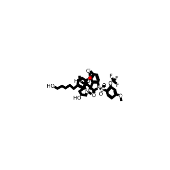 CNC(=O)[C@@H]1C[C@@H](O)C[N+]1(C)C1(c2cc(CCCCCO)ccc2OC)C(=O)N(S(=O)(=O)c2ccc(OC)cc2OC(F)(F)F)c2ccc(Cl)cc21